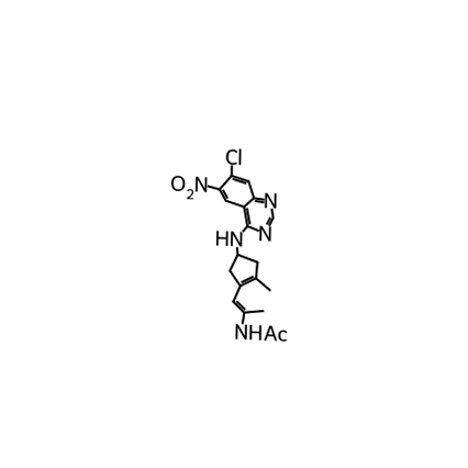 CC(=O)N/C(C)=C/C1=C(C)CC(Nc2ncnc3cc(Cl)c([N+](=O)[O-])cc23)C1